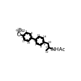 CCC(C)Oc1ccc(-c2ccc(CC(C)NC(C)=O)cc2)cc1